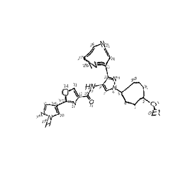 CCOC1CCC(n2cc(NC(=O)c3coc(-c4cn[nH]c4)n3)c(-c3cnccn3)n2)CC1